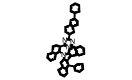 c1ccc(-c2ccc3cc(-c4nc(-c5ccccc5)nc(-c5ccc6ccccc6c5-n5c6ccccc6c6c(-c7ccccc7)c7ccccc7cc65)n4)ccc3c2)cc1